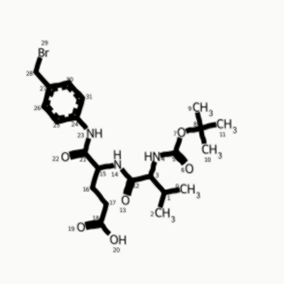 CC(C)C(NC(=O)OC(C)(C)C)C(=O)NC(CCC(=O)O)C(=O)Nc1ccc(CBr)cc1